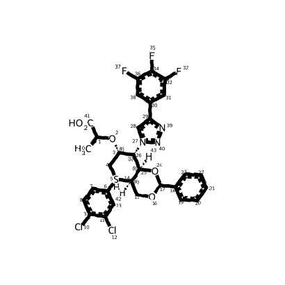 CC(O[C@H]1C[SH](c2ccc(Cl)c(Cl)c2)[C@@H]2COC(c3ccccc3)O[C@@H]2[C@H]1n1cc(-c2cc(F)c(F)c(F)c2)nn1)C(=O)O